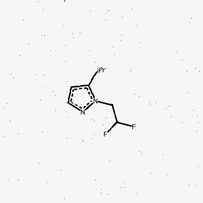 CC(C)c1c[c]nn1CC(F)F